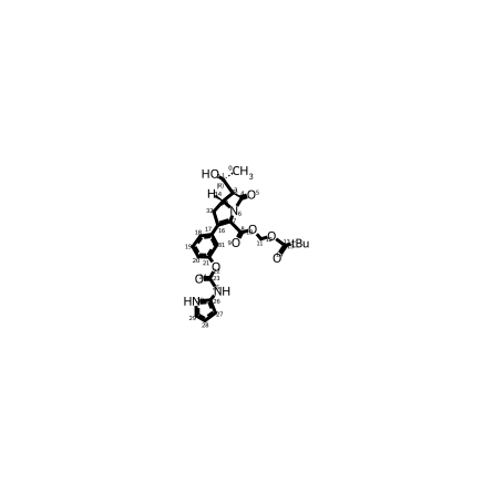 C[C@@H](O)[C@H]1C(=O)N2C(C(=O)OCOC(=O)C(C)(C)C)=C(c3cccc(OC(=O)Nc4ccc[nH]4)c3)C[C@H]12